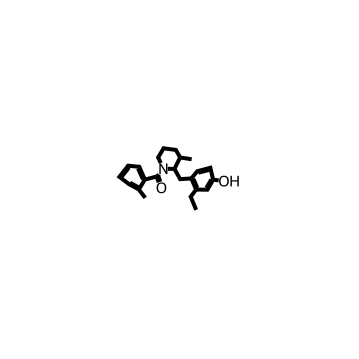 CCc1cc(O)ccc1CC1C(C)CCCN1C(=O)c1ccccc1C